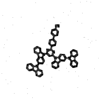 N#Cc1ccc(-c2ccc(-c3nc(-n4c5ccccc5c5cc(-n6c7ccccc7c7ccccc76)ccc54)cc(-n4c5ccccc5c5cc(-n6c7ccccc7c7ccccc76)ccc54)n3)cc2)cc1